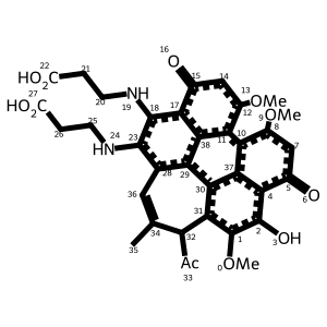 COc1c(O)c2c(=O)cc(OC)c3c4c(OC)cc(=O)c5c(NCCC(=O)O)c(NCCC(=O)O)c6c(c(c1C(C(C)=O)C(C)=C6)c23)c54